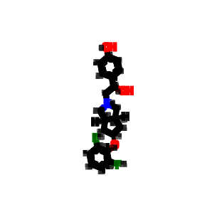 Oc1ccc(C(O)CN2C[C@H]3C[C@H](Oc4c(F)cccc4F)C[C@H]3C2)cc1